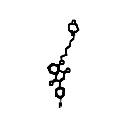 O=C1C(c2ccc(F)cc2)=CC(=O)c2c(OCCCCCCN3CCOCC3)cccc21